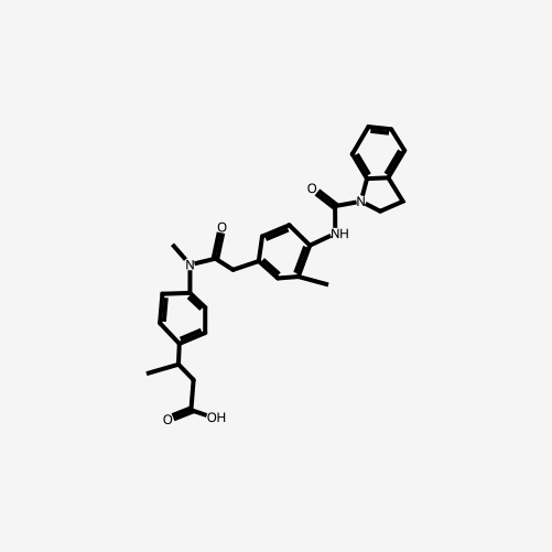 Cc1cc(CC(=O)N(C)c2ccc(C(C)CC(=O)O)cc2)ccc1NC(=O)N1CCc2ccccc21